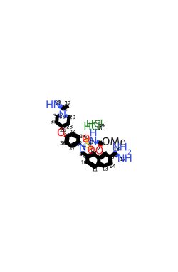 COC(=O)NS(=O)(=O)N(Cc1ccc2ccc(C(=N)N)cc2c1)c1ccc(OC2CCN(C(C)=N)CC2)cc1.Cl.Cl